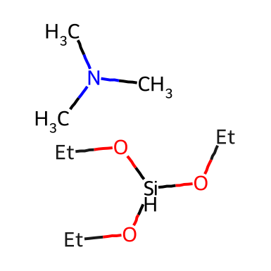 CCO[SiH](OCC)OCC.CN(C)C